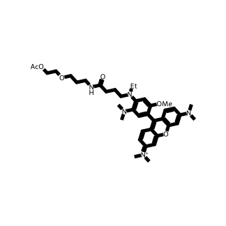 CCN(CCCC(=O)NCCCOCCOC(C)=O)c1cc(OC)c(-c2c3ccc(=[N+](C)C)cc-3oc3cc(N(C)C)ccc23)cc1N(C)C